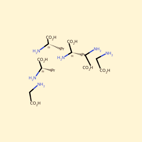 CC(C)[C@H](N)C(=O)O.CC(C)[C@H](N)C(=O)O.CC(C)[C@H](N)C(=O)O.NCC(=O)O.NCC(=O)O.NCC(=O)O